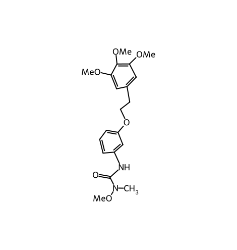 COc1cc(CCOc2cccc(NC(=O)N(C)OC)c2)cc(OC)c1OC